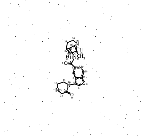 C[C@H]1[C@H](NC(=O)c2cc3c(N4CCNCC4=O)csc3cn2)C2CCN1CC2